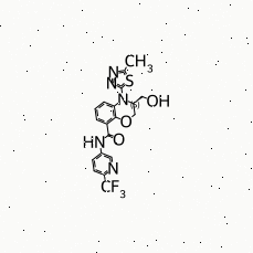 Cc1nnc(N2c3cccc(C(=O)Nc4ccc(C(F)(F)F)nc4)c3OC[C@@H]2CO)s1